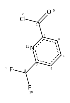 O=C(Cl)c1cccc(C(F)F)n1